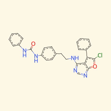 O=C(Nc1ccccc1)Nc1ccc(CCNc2ncnc3oc(Cl)c(-c4ccccc4)c23)cc1